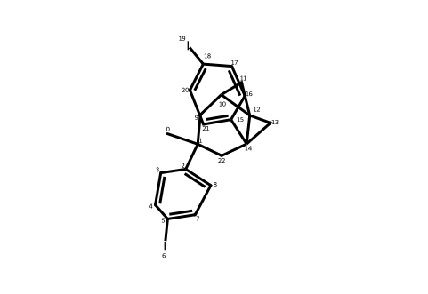 CC1(c2ccc(I)cc2)CC2CC23CC3(c2ccc(I)cc2)C1